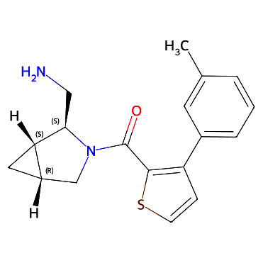 Cc1cccc(-c2ccsc2C(=O)N2C[C@@H]3C[C@@H]3[C@H]2CN)c1